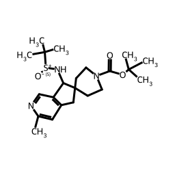 Cc1cc2c(cn1)C(N[S@+]([O-])C(C)(C)C)C1(CCN(C(=O)OC(C)(C)C)CC1)C2